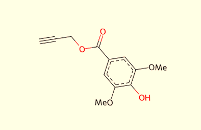 C#CCOC(=O)c1cc(OC)c(O)c(OC)c1